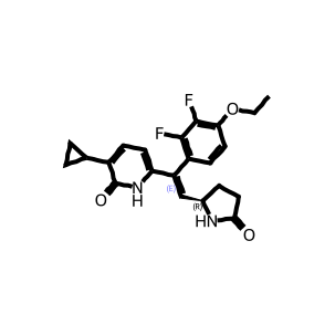 CCOc1ccc(/C(=C\[C@H]2CCC(=O)N2)c2ccc(C3CC3)c(=O)[nH]2)c(F)c1F